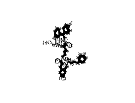 O=C(O)NC(CCCCNC(=O)C1Cc2ccccc2CN1C(=O)CCCc1ccccc1)C(=O)NCC(c1ccccc1)c1ccccc1